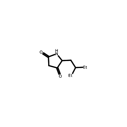 CCC(CC)CC1NC(=O)CC1=O